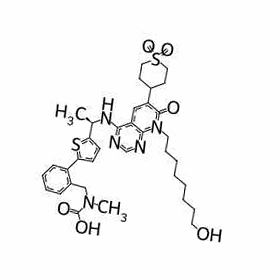 C[C@@H](Nc1ncnc2c1cc(C1CCS(=O)(=O)CC1)c(=O)n2CCCCCCCCO)c1ccc(-c2ccccc2CN(C)C(=O)O)s1